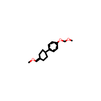 COC=C1CCC(c2ccc(OCOC)cc2)CC1